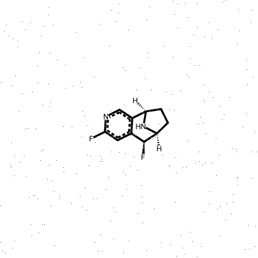 Fc1cc2c(cn1)[C@H]1CC[C@H](N1)[C@H]2F